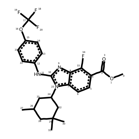 COC(=O)c1ccc2c(nc(Nc3ccc(OC(F)(F)F)cc3)n2C2CC(C)CC(C)(C)C2)c1F